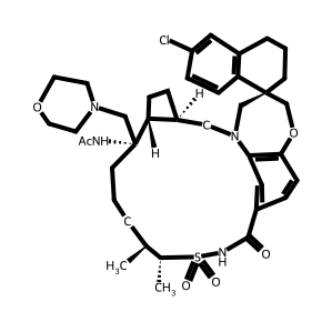 CC(=O)N[C@@]1(CN2CCOCC2)CCC[C@H](C)[C@@H](C)S(=O)(=O)NC(=O)c2ccc3c(c2)N(C[C@@H]2CC[C@H]21)C[C@@]1(CCCc2cc(Cl)ccc21)CO3